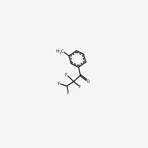 Cc1cccc(C(=O)C(F)(F)C(F)F)c1